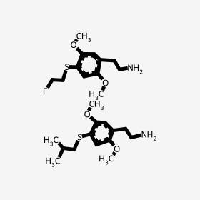 COc1cc(SCC(C)C)c(OC)cc1CCN.COc1cc(SCCF)c(OC)cc1CCN